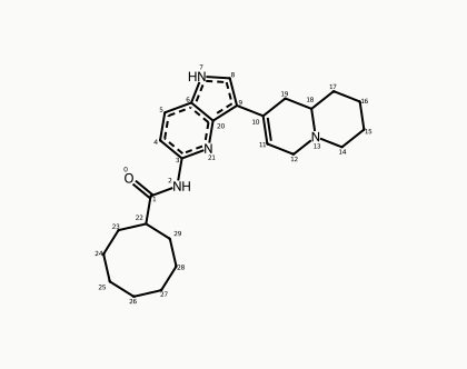 O=C(Nc1ccc2[nH]cc(C3=CCN4CCCCC4C3)c2n1)C1CCCCCCC1